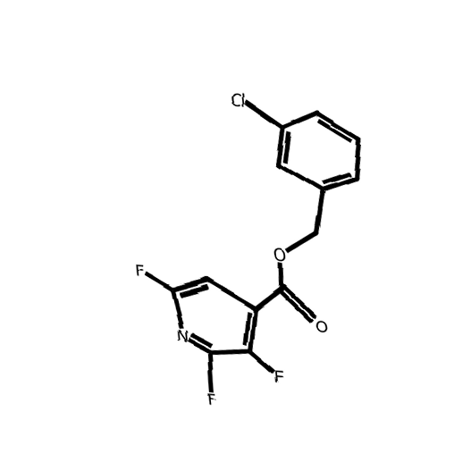 O=C(OCc1cccc(Cl)c1)c1cc(F)nc(F)c1F